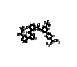 Cc1ccc(C(=O)Nc2cc(N3CCN(C(C)C)CC3)cc(C(F)(F)F)c2)cc1Nc1ncnn1-c1cc(NC2CC2)ncn1